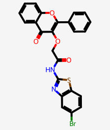 O=C(COc1c(-c2ccccc2)oc2ccccc2c1=O)Nc1nc2cc(Br)ccc2s1